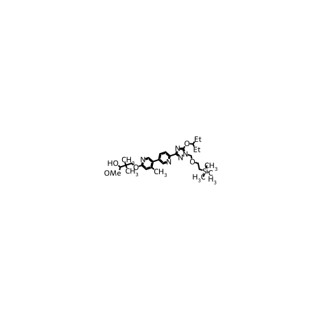 CCC(CC)Oc1nc(-c2ccc(-c3cnc(OCC(C)(C)C(O)OC)cc3C)cn2)nn1COCC[Si](C)(C)C